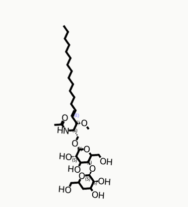 CCCCCCCCCCCCC/C=C/[C@H](OC)[C@H](CO[C@@H]1OC(CO)[C@@H](O[C@@H]2OC(CO)CC(O)[C@@H]2O)C(O)[C@@H]1O)NC(C)=O